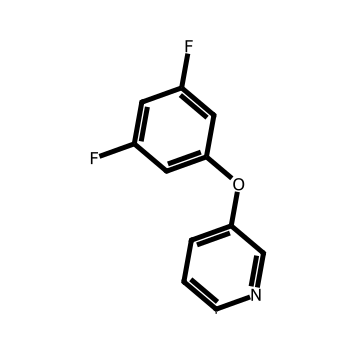 Fc1cc(F)cc(Oc2cc[c]nc2)c1